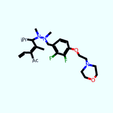 C=C/C(C(C)=O)=C(/C)C(C(C)C)N(C)N(C)Cc1ccc(OCCN2CCOCC2)c(F)c1F